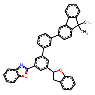 CC1(C)c2ccccc2-c2cc(-c3cccc(-c4cc(-c5nc6ccccc6o5)cc(C5Cc6ccccc6O5)c4)c3)ccc21